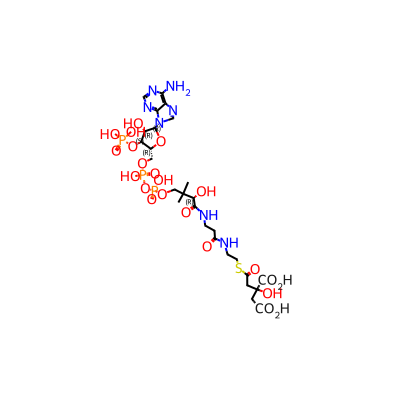 CC(C)(COP(=O)(O)OP(=O)(O)OC[C@H]1O[C@@H](n2cnc3c(N)ncnc32)[C@H](O)[C@@H]1OP(=O)(O)O)[C@@H](O)C(=O)NCCC(=O)NCCSC(=O)CC(O)(CC(=O)O)C(=O)O